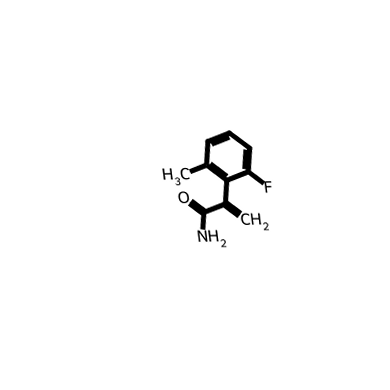 C=C(C(N)=O)c1c(C)cccc1F